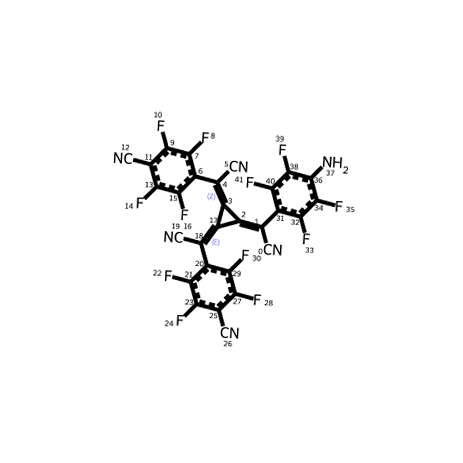 N#CC(=C1C(=C(\C#N)c2c(F)c(F)c(C#N)c(F)c2F)/C1=C(\C#N)c1c(F)c(F)c(C#N)c(F)c1F)c1c(F)c(F)c(N)c(F)c1F